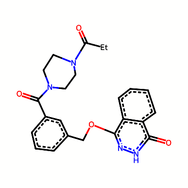 CCC(=O)N1CCN(C(=O)c2cccc(COc3n[nH]c(=O)c4ccccc34)c2)CC1